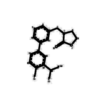 O=C1OCCN1Cc1cncc(-c2ccc(F)c(C(F)F)c2)c1